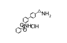 Cl.NC1CC1c1ccc(-c2cccc(NS(=O)(=O)c3ccccc3)c2)cc1